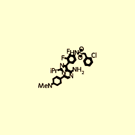 CNC1CC=C(c2cnc(N)c3c(-c4ccc(NS(=O)(=O)Cc5ccccc5Cl)c(F)c4F)nc(C(C)C)n23)CC1